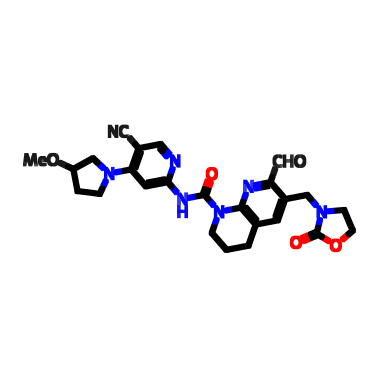 COC1CCN(c2cc(NC(=O)N3CCCc4cc(CN5CCOC5=O)c(C=O)nc43)ncc2C#N)C1